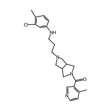 Cc1ccc(NCCCN2CC3CN(C(=O)c4cnccc4C)CC3C2)cc1Cl